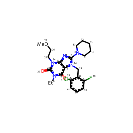 CCn1c(=O)c2c(nc(N3CCCCC3)n2Cc2c(F)cccc2Cl)n(CCOC)c1=O